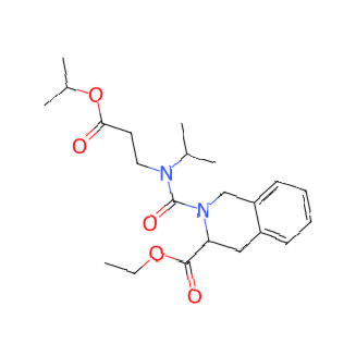 CCOC(=O)C1Cc2ccccc2CN1C(=O)N(CCC(=O)OC(C)C)C(C)C